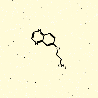 CCCOc1ccc2nccnc2c1